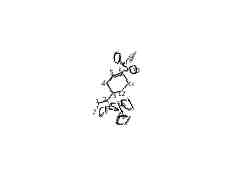 CCC(C1CC=C(S(C)(=O)=O)CC1)[Si](Cl)(Cl)Cl